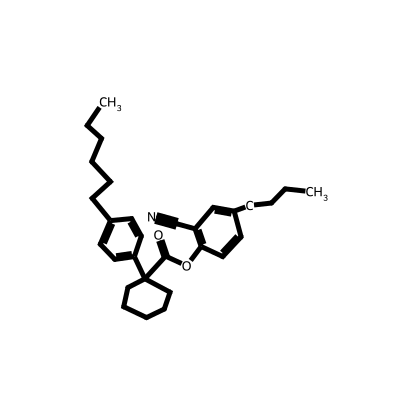 CCCCCCc1ccc(C2(C(=O)Oc3ccc(CCCC)cc3C#N)CCCCC2)cc1